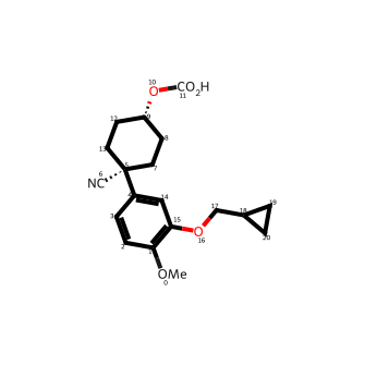 COc1ccc([C@]2(C#N)CC[C@@H](OC(=O)O)CC2)cc1OCC1CC1